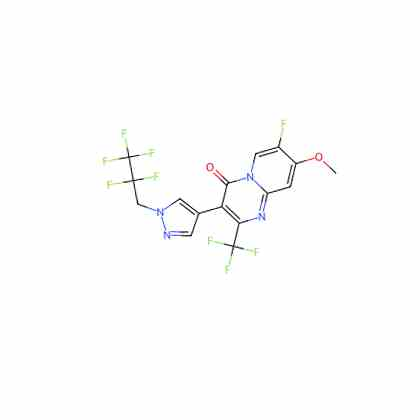 COc1cc2nc(C(F)(F)F)c(-c3cnn(CC(F)(F)C(F)(F)F)c3)c(=O)n2cc1F